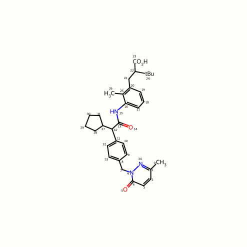 Cc1ccc(=O)n(Cc2ccc(C(C(=O)Nc3cccc(CC(C(=O)O)C(C)(C)C)c3C)C3CCCC3)cc2)n1